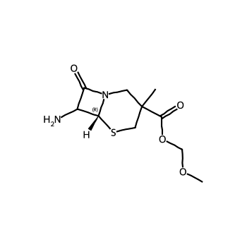 COCOC(=O)C1(C)CS[C@@H]2C(N)C(=O)N2C1